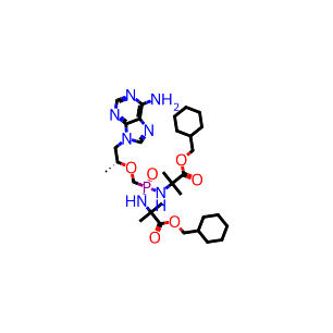 C[C@H](Cn1cnc2c(N)ncnc21)OCP(=O)(NC(C)(C)C(=O)OCC1CCCCC1)NC(C)(C)C(=O)OCC1CCCCC1